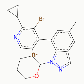 Cc1cc(-c2c(Br)cnc(C3CC3)c2Br)c2c(cnn2C2CCCCO2)c1